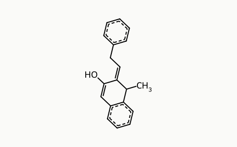 CC1C(=CCc2ccccc2)C(O)=Cc2ccccc21